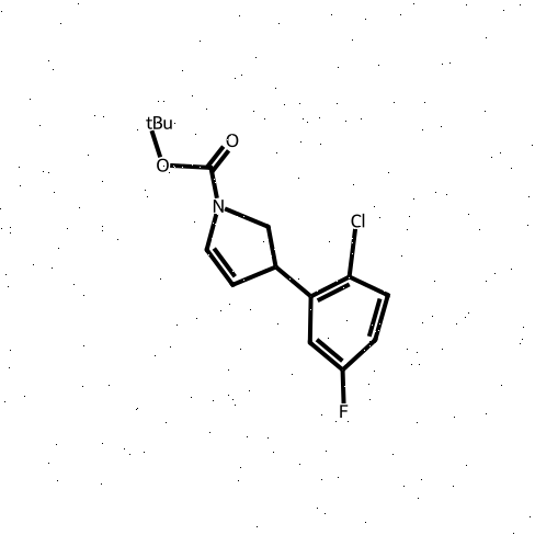 CC(C)(C)OC(=O)N1C=CC(c2cc(F)ccc2Cl)C1